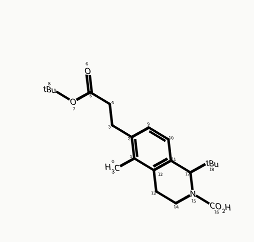 Cc1c(CCC(=O)OC(C)(C)C)ccc2c1CCN(C(=O)O)C2C(C)(C)C